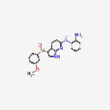 COc1cccc([S+]([O-])c2c[nH]c3nc(Nc4ccccc4N)ccc23)c1